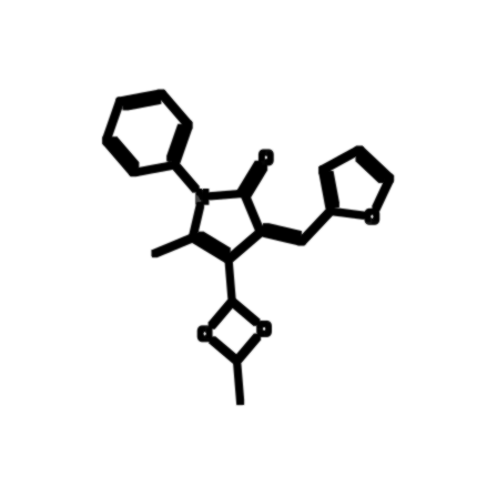 CC1=C(C2OC(C)O2)/C(=C/c2ccco2)C(=O)N1c1ccccc1